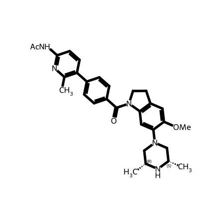 COc1cc2c(cc1N1C[C@@H](C)N[C@@H](C)C1)N(C(=O)c1ccc(-c3ccc(NC(C)=O)nc3C)cc1)CC2